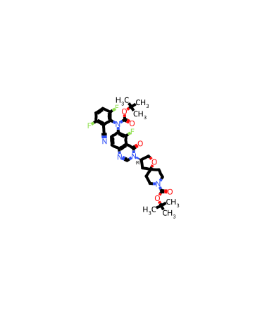 CC(C)(C)OC(=O)N1CCC2(CC1)C[C@@H](n1cnc3ccc(N(C(=O)OC(C)(C)C)c4c(F)ccc(F)c4C#N)c(F)c3c1=O)CO2